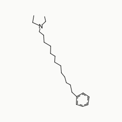 CCN(CC)CCCCCCCCCCCCCc1ccccc1